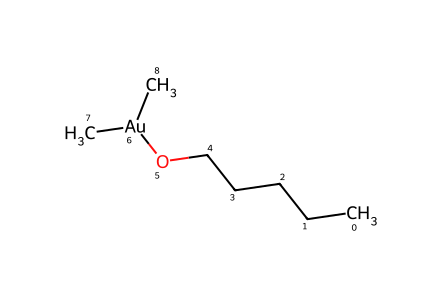 CCCCC[O][Au]([CH3])[CH3]